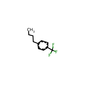 CCCCc1ccc(C(F)(F)F)cc1